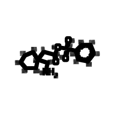 NCC1(CC(=O)OS(=O)(=O)c2ccccc2)CCCCC1